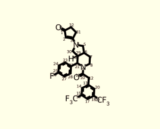 O=C1C=C(N2CC3CCN(C(=O)Cc4cc(C(F)(F)F)cc(C(F)(F)F)c4)C(c4ccc(F)cc4)[C@@H]3C2)CC1